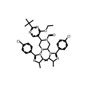 CCOc1nc(C(C)(C)C)ncc1C1CN(N2C(c3ccc(Cl)cc3)=NC(C)C2C)C(N2C(c3ccc(Cl)cc3)=NC(C)C2C)CN1C=O